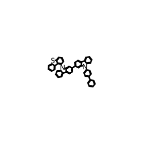 c1ccc(-c2ccc(-n3c4ccccc4c4ccc(-c5ccc6c7ccccc7n(-c7cccc8sc9ccccc9c78)c6c5)cc43)cc2)cc1